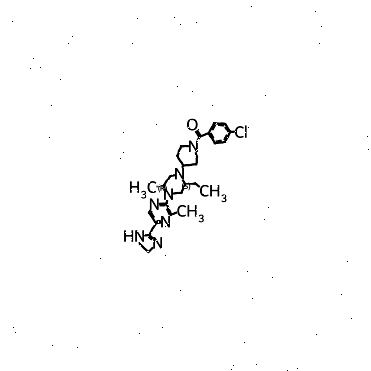 CC[C@H]1CN(c2ncc(C3=NCCN3)nc2C)[C@H](C)CN1C1CCN(C(=O)c2ccc(Cl)cc2)CC1